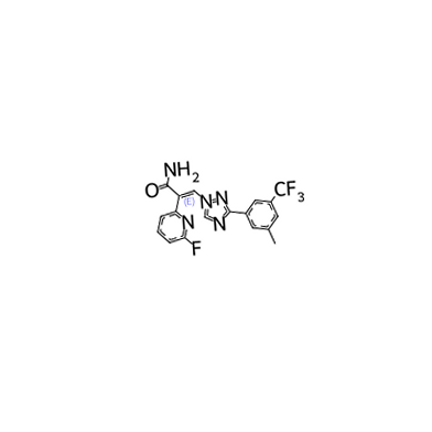 Cc1cc(-c2ncn(/C=C(/C(N)=O)c3cccc(F)n3)n2)cc(C(F)(F)F)c1